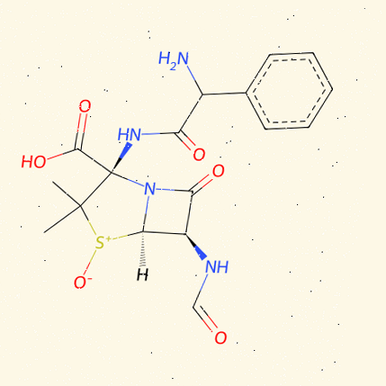 CC1(C)[S+]([O-])[C@@H]2[C@H](NC=O)C(=O)N2[C@@]1(NC(=O)C(N)c1ccccc1)C(=O)O